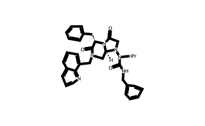 CCCN(C(=O)NCc1ccccc1)N1CC(=O)N2[C@@H](Cc3ccccc3)C(=O)N(Cc3cccc4cccnc34)C[C@@H]21